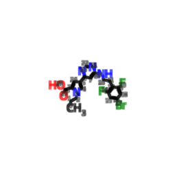 CCCn1cc(-c2cc(NCCc3c(F)cc(Br)cc3F)ncn2)cc1C(=O)O